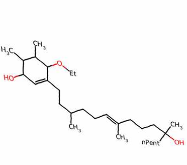 CCCCCC(C)(O)CCC/C(C)=C/CCC(C)CCC1=CC(O)C(C)C(C)C1OCC